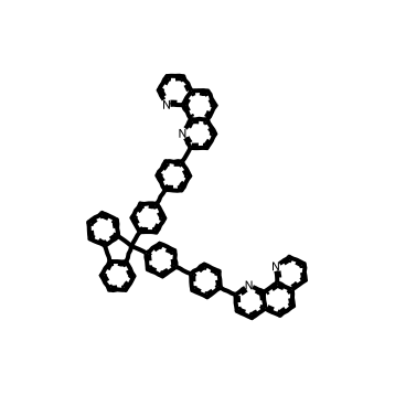 c1ccc2c(c1)-c1ccccc1C2(c1ccc(-c2ccc(-c3ccc4ccc5cccnc5c4n3)cc2)cc1)c1ccc(-c2ccc(-c3ccc4ccc5cccnc5c4n3)cc2)cc1